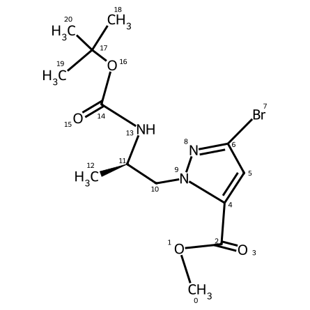 COC(=O)c1cc(Br)nn1C[C@@H](C)NC(=O)OC(C)(C)C